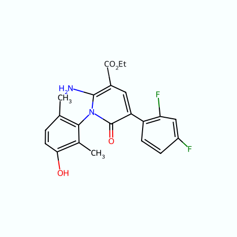 CCOC(=O)c1cc(-c2ccc(F)cc2F)c(=O)n(-c2c(C)ccc(O)c2C)c1N